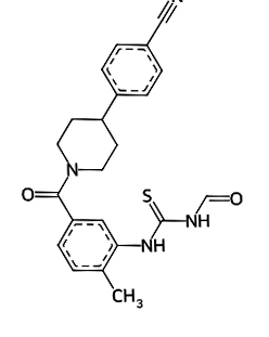 Cc1ccc(C(=O)N2CCC(c3ccc(C#N)cc3)CC2)cc1NC(=S)NC=O